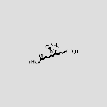 CCCC(N)=O.CCCCCCC(O)CCCCCCCCCCC(=O)O